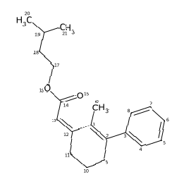 CC1=C(c2ccccc2)CCCC1=CC(=O)OCCC(C)C